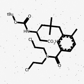 Cc1ccc(C(=O)N(CCCl)CCCl)cc1CC(C)(C)C[C@@H](CC(=O)O)NC(=O)OC(C)(C)C